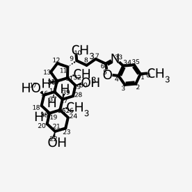 Cc1ccc2oc(CCC(C)[C@H]3CC[C@H]4[C@@H]5[C@H](O)C[C@@H]6C[C@H](O)CC[C@]6(C)[C@H]5C[C@H](O)[C@]34C)nc2c1